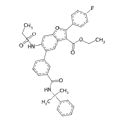 CCOC(=O)c1c(-c2ccc(F)cc2)oc2cc(NS(=O)(=O)CC)c(-c3cccc(C(=O)NC(C)(C)c4ccccc4)c3)cc12